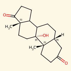 C[C@]12CCC(=O)C[C@H]1CCC1C3CCC(=O)[C@@]3(C)CC[C@@]12O